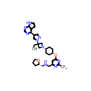 N#CCC1(n2cc(-c3ncnc4[nH]ccc34)cn2)CN([C@H]2CC[C@@H](Oc3cc(CNC[C@@H]4CCCO4)nc(C(F)(F)F)n3)CC2)C1